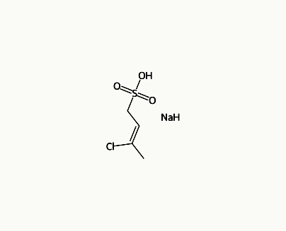 CC(Cl)=CCS(=O)(=O)O.[NaH]